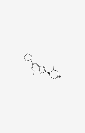 Cc1cc(N2CCCC2)cc2nc(N3CCNCC3C)oc12